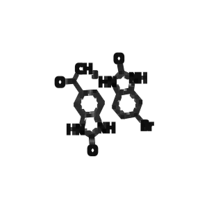 CC(=O)c1ccc2[nH]c(=O)[nH]c2c1.O=c1[nH]c2ccc(Br)cc2[nH]1